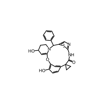 O=C1Nc2ncc(s2)C(c2ccccc2)N2CCC(O)C=C2Oc2cc(ccc2O)C12CC2